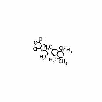 C=C(c1ccc(C(=O)O)c(Cl)c1)c1cc2c(cc1C)C(C)(C)CCC2(C)C